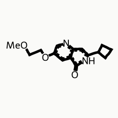 COCCOc1cnc2cc(C3CCC3)[nH]c(=O)c2c1